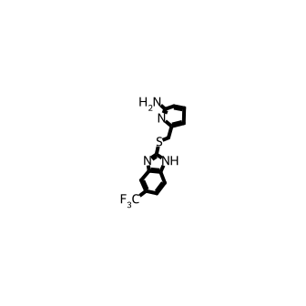 Nc1cccc(CSc2nc3cc(C(F)(F)F)ccc3[nH]2)n1